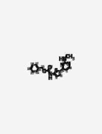 CNc1nccc(-c2ccc(NC(=O)OCc3ccccc3)s2)n1